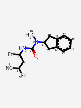 CCC(C#N)CC(CC)NC(=O)N(C)C1Cc2ccccc2C1